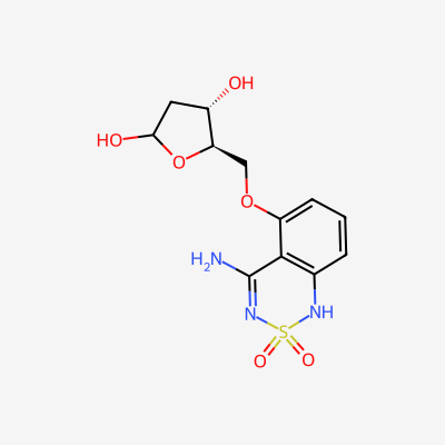 NC1=NS(=O)(=O)Nc2cccc(OC[C@H]3OC(O)C[C@@H]3O)c21